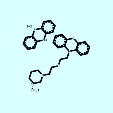 Cl.O=C(O)[C@@H]1CCCN(CCOCCN2c3ccccc3Sc3ccccc32)C1.c1ccc2c(c1)Nc1ccccc1S2